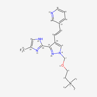 C[Si](C)(C)CCOCn1cc(C=Cc2cccnc2)c(-c2nc(C(F)(F)F)c[nH]2)n1